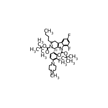 CCCC[C@H]1Cc2c(n(C(=O)OC(C)(C)C)c3c(F)cc(F)cc23)[C@H](c2ccc(N3CCN(C)CC3)c(F)c2)N1C(=O)OC(C)(C)C